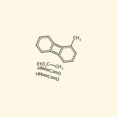 CCOC(C)=O.Cc1cccc2c1=c1ccccc1=2.N=C=O.N=C=O